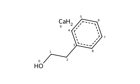 OCCc1ccccc1.[CaH2]